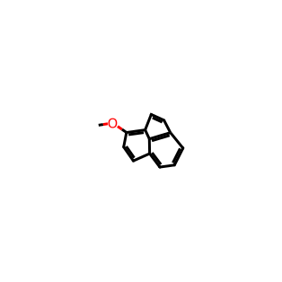 COc1ccc2cccc3c2c1C=C3